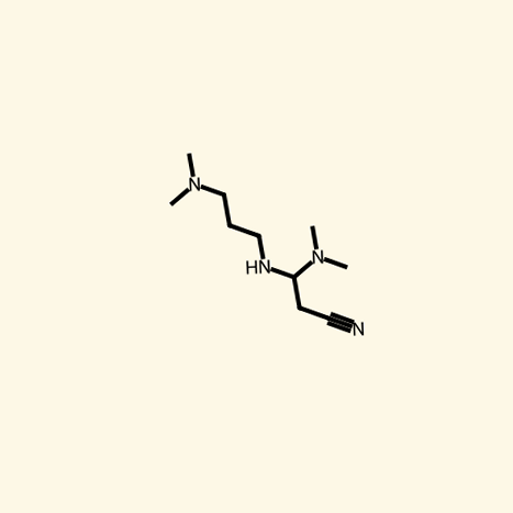 CN(C)CCCNC(CC#N)N(C)C